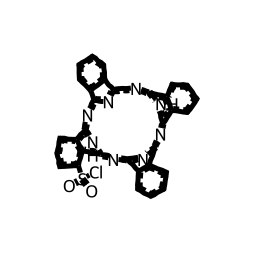 O=S(=O)(Cl)c1cccc2c3nc4nc(nc5[nH]c(nc6nc(nc([nH]3)c12)-c1ccccc1-6)c1ccccc51)-c1ccccc1-4